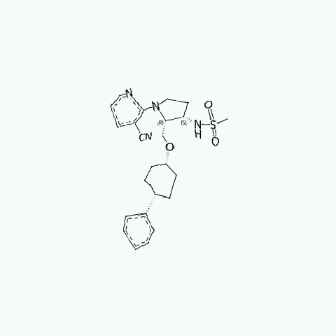 CS(=O)(=O)N[C@H]1CCN(c2ncccc2C#N)[C@H]1CO[C@H]1CC[C@@H](c2ccccc2)CC1